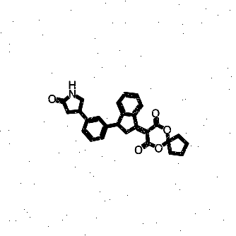 O=C1CC(c2cccc(C3CC(=C4C(=O)OC5(CCCC5)OC4=O)c4ccccc43)c2)CN1